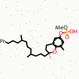 COP(=O)(O)Oc1cc(C)c2c(c1)CC[C@](C)(CCCC(C)CCCC(C)CCCC(C)C)O2